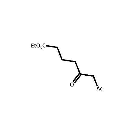 CCOC(=O)CCCC(=O)CC(C)=O